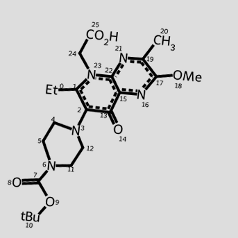 CCc1c(N2CCN(C(=O)OC(C)(C)C)CC2)c(=O)c2nc(OC)c(C)nc2n1CC(=O)O